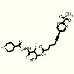 CCCC(NC(=O)CCCC#Cc1cnc(S(C)(=O)=O)nc1)C(C)C(=O)NOC(=O)C1CCNCC1